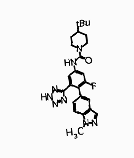 Cn1ncc2cc(-c3c(F)cc(NC(=O)N4CCC(C(C)(C)C)CC4)cc3-c3nn[nH]n3)ccc21